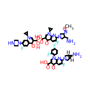 CO/N=C1\CN(c2nc3c(cc2F)c(=O)c(C(=O)O)cn3C2CC2)CC1CN.N[C@@H]1[C@H]2CN(c3nc4c(cc3F)c(=O)c(C(=O)O)cn4-c3ccc(F)cc3F)C[C@@H]12.O=C(O)c1cn(C2CC2)c2cc(N3CCNCC3)c(F)cc2c1=O